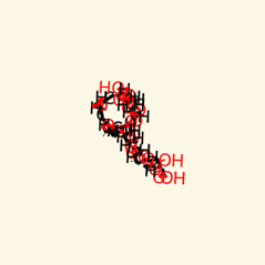 C=C1C[C@@H]2CC[C@]34OC5[C@@H]6O[C@H]7CC[C@H](CC(=O)O[C@@H]8[C@@H](C)[C@@H]9O[C@@H]%10C[C@@]%11(C[C@@H]%12O[C@]%13(C[C@H](C)[C@@H]%14O[C@H](CC(=O)O)[C@H](O)C[C@@H]%14O%13)C[C@H](C)[C@@H]%12O%11)O[C@@H]%10C[C@@H]9O[C@H]8C[C@H]8O[C@@H](CC[C@@H]1O2)C[C@@H](C)C8=C)O[C@@H]7[C@H](O3)[C@@H]6O[C@@]5(C)[C@H]4O